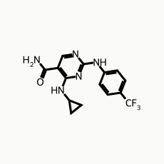 NC(=O)c1cnc(Nc2ccc(C(F)(F)F)cc2)nc1NC1CC1